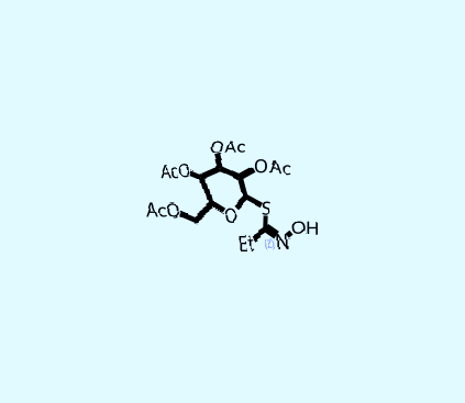 CC/C(=N/O)SC1OC(COC(C)=O)C(OC(C)=O)C(OC(C)=O)C1OC(C)=O